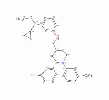 COc1ccc(-c2ccc(F)cc2)c(N2CCC(COc3cccc(C(CC(=O)O)C4CC4)c3)CC2)c1